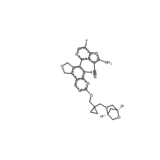 N#Cc1c(N)sc2c(F)cnc(-c3c4c(c5cnc(OCC6(CN7C[C@@H]8C[C@H]7CO8)CC6)nc5c3F)COC4)c12